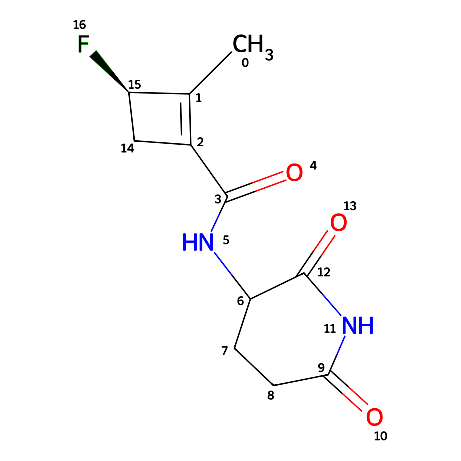 CC1=C(C(=O)NC2CCC(=O)NC2=O)C[C@H]1F